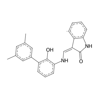 Cc1cc(C)cc(-c2cccc(NC=C3C(=O)Nc4ccc[c]c43)c2O)c1